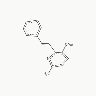 COc1ccc(C)nc1/C=C/c1ccccc1